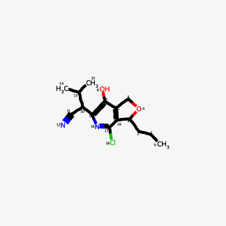 CCCC1OCc2c(O)c(C(C#N)C(C)C)nc(Cl)c21